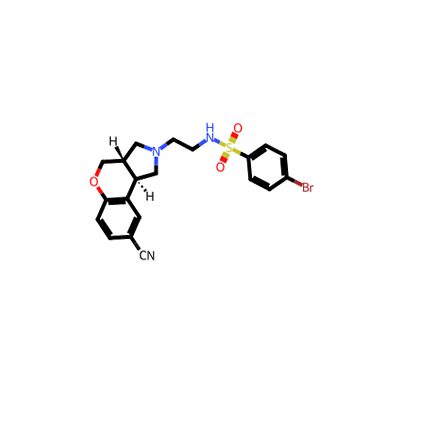 N#Cc1ccc2c(c1)[C@@H]1CN(CCNS(=O)(=O)c3ccc(Br)cc3)C[C@H]1CO2